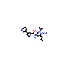 C=C/C=C(C(=N)N(C=N)C1CC1)\C(F)=C\NC(=O)c1cc(-c2cccnc2)ccn1